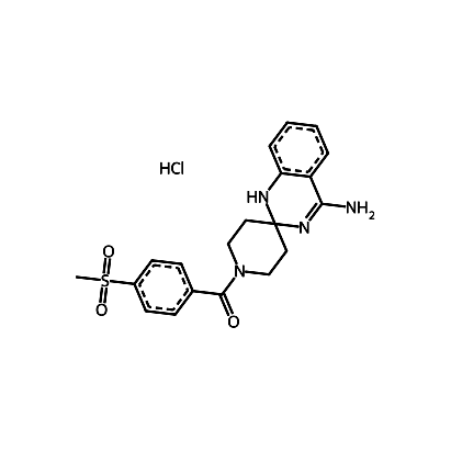 CS(=O)(=O)c1ccc(C(=O)N2CCC3(CC2)N=C(N)c2ccccc2N3)cc1.Cl